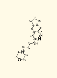 c1c2c(cc3nc(NCCCN4CCOCC4)nnc13)CCC2